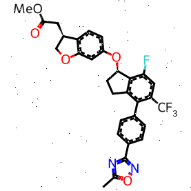 COC(=O)C[C@@H]1COc2cc(O[C@@H]3CCc4c(-c5ccc(-c6noc(C)n6)cc5)c(C(F)(F)F)cc(F)c43)ccc21